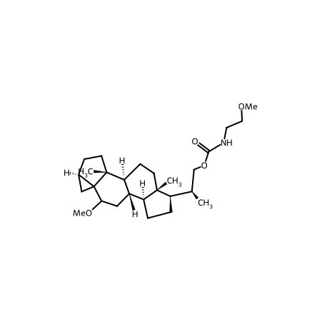 COCCNC(=O)OC[C@@H](C)[C@H]1CC[C@H]2[C@@H]3CC(OC)C45C[C@H]4CC[C@]5(C)[C@H]3CC[C@]12C